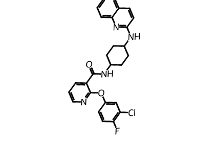 O=C(NC1CCC(Nc2ccc3ccccc3n2)CC1)c1cccnc1Oc1ccc(F)c(Cl)c1